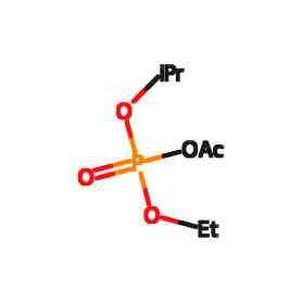 CCOP(=O)(OC(C)=O)OC(C)C